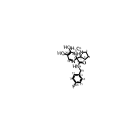 CN1CCCC1C1(C(=O)NCc2ccc(F)cc2)N=CC(O)=C(O)N1